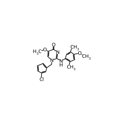 COc1cc(C)c(Nc2nc(=O)c(OC)cn2Cc2cccc(Cl)c2)cc1C